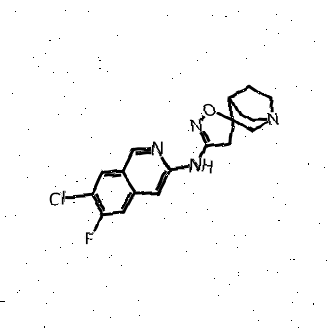 Fc1cc2cc(NC3=NOC4(C3)CN3CCC4CC3)ncc2cc1Cl